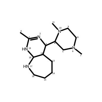 CC1=NC(C2CN(C)CCN2C)C2CCCCNC2N1